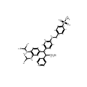 CCOC(=O)C(c1ccncc1)C(c1ccc(OCc2ccc(S(C)(=O)=O)cc2)nc1)c1ccc(OC(F)F)c(OC(F)F)c1